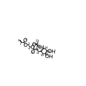 C=CC(=O)OCCOC(=O)C(CC1CCC(O)C(O)C1)NC(C)=O